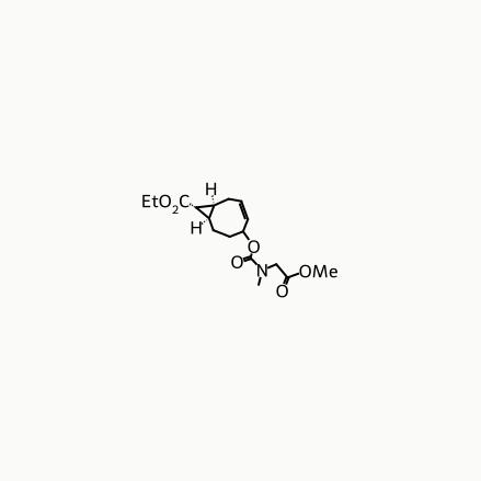 CCOC(=O)[C@H]1[C@@H]2CCC(OC(=O)N(C)CC(=O)OC)/C=C\C[C@@H]21